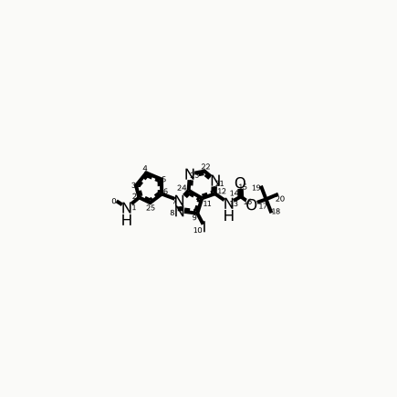 CNc1cccc(-n2nc(I)c3c(NC(=O)OC(C)(C)C)ncnc32)c1